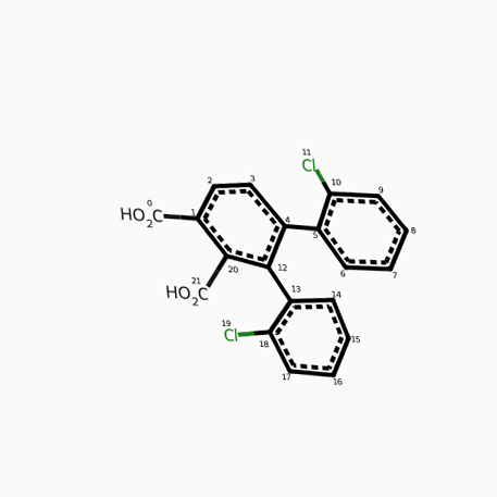 O=C(O)c1ccc(-c2ccccc2Cl)c(-c2ccccc2Cl)c1C(=O)O